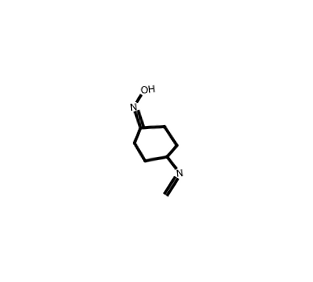 C=NC1CCC(=NO)CC1